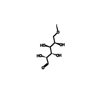 O=C[C@H](O)[C@@H](O)[C@@H](O)[C@H](O)COI